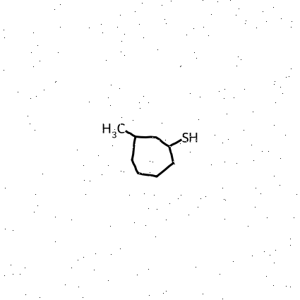 CC1CCCCC(S)C1